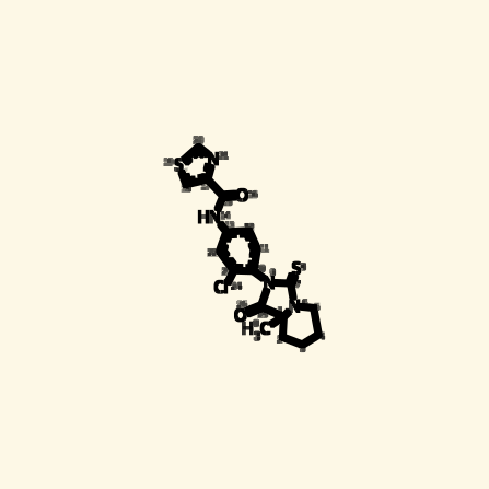 CC12CCCCN1C(=S)N(c1ccc(NC(=O)c3cscn3)cc1Cl)C2=O